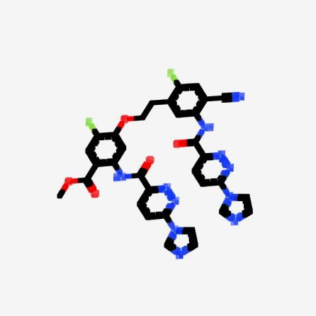 COC(=O)c1cc(F)c(OCCc2cc(NC(=O)c3ccc(-n4ccnc4)nn3)c(C#N)cc2F)cc1NC(=O)c1ccc(-n2ccnc2)nn1